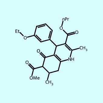 CCCOC(=O)C1=C(C)NC2=C(C(=O)C(C(=O)OC)C(C)C2)C1c1cccc(OCC)c1